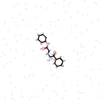 [CH2][C@H](N=CC(=O)OC1CCCCC1)C(=O)C1CCCCC1